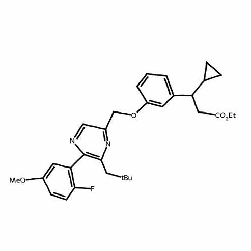 CCOC(=O)CC(c1cccc(OCc2cnc(-c3cc(OC)ccc3F)c(CC(C)(C)C)n2)c1)C1CC1